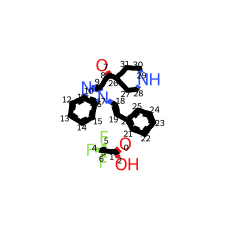 O=C(O)C(F)(F)F.O=C(c1nc2ccccc2n1C=Cc1ccccc1)C1CCNCC1